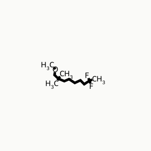 COCC(C)(C)CCCCCC(C)(F)F